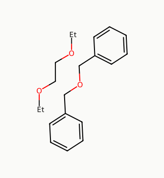 CCOCCOCC.c1ccc(COCc2ccccc2)cc1